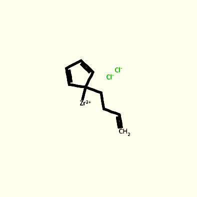 C=CCC[C]1([Zr+2])C=CC=C1.[Cl-].[Cl-]